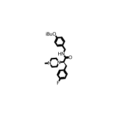 CC(C)COc1ccc(CNC(=O)[C@@H](Cc2ccc(F)cc2)N2CCN(C)CC2)cc1